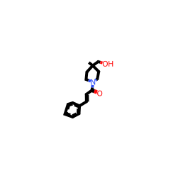 CC1(CO)CCN(C(=O)/C=C/c2ccccc2)CC1